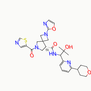 CC(C)(O)C(NC(=O)[C@@H]1CN(C(=O)c2cncs2)CC12CN(c1ncco1)C2)c1cccc(C2CCOCC2)n1